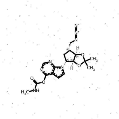 CNC(=O)Oc1ncnc2c1ccn2[C@@H]1C[C@H](CN=[N+]=[N-])[C@H]2OC(C)(C)O[C@H]21